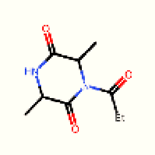 CCC(=O)N1C(=O)C(C)NC(=O)C1C